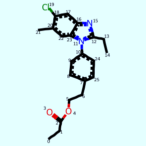 CCC(=O)OCCc1ccc(-n2c(CC)nc3cc(Cl)c(C)cc32)cc1